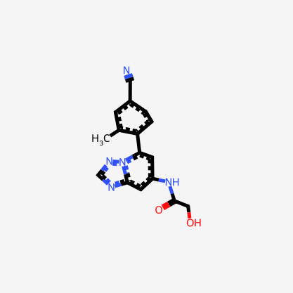 Cc1cc(C#N)ccc1-c1cc(NC(=O)CO)cc2ncnn12